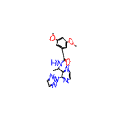 COc1cc(OC)cc(C(=O)NC(C)c2nccnc2-n2nccn2)c1